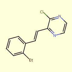 CCc1c[c]ccc1C=Cc1nccnc1Cl